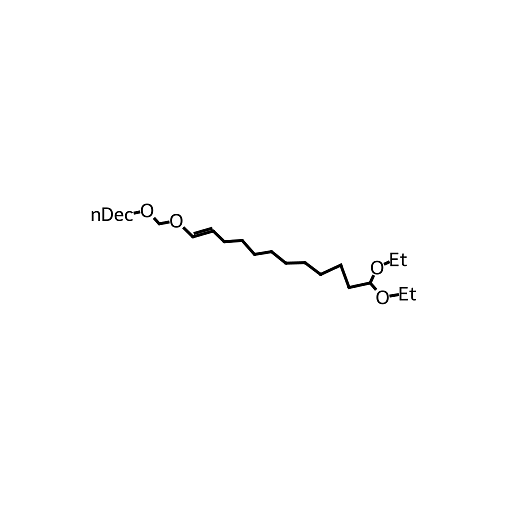 CCCCCCCCCCOCOC=CCCCCCCCCCC(OCC)OCC